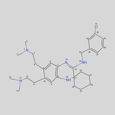 CN(C)CCc1cc2c(cc1CCN(C)C)NC1(CCCCC1)C(NCc1cccc(Cl)c1)=N2